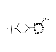 COc1cccc(N2CCN(C(C)(C)C)CC2)n1